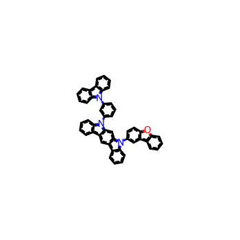 c1cc(-n2c3ccccc3c3ccccc32)cc(-n2c3ccccc3c3cc4c5ccccc5n(-c5ccc6oc7ccccc7c6c5)c4cc32)c1